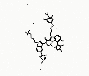 Cc1cc(OCCCc2c3n(c4c(-c5c(C)nn(C)c5C)c(Cl)ccc24)C(C)CN(c2cn(COCC[Si](C)(C)C)c4ccc(-c5ncn(C)n5)cc24)C3=O)cc(C)c1Cl